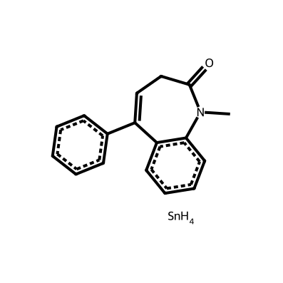 CN1C(=O)CC=C(c2ccccc2)c2ccccc21.[SnH4]